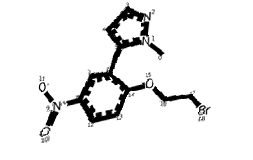 Cn1nccc1-c1cc([N+](=O)[O-])ccc1OCCBr